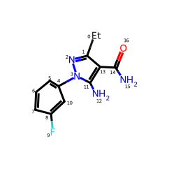 CCc1nn(-c2cccc(F)c2)c(N)c1C(N)=O